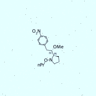 CCCON1CCC[C@@H]1[C@H](Cc1ccc([N+](=O)[O-])cc1)OC